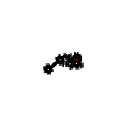 CN(Cc1ccc(C#Cc2ccccc2)cc1)CC(O)(Cn1cncn1)c1ccc(F)cc1F